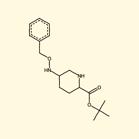 CC(C)(C)OC(=O)C1CCC(NOCc2ccccc2)CN1